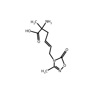 Cc1noc(=O)n1CC=CCC(C)(N)C(=O)O